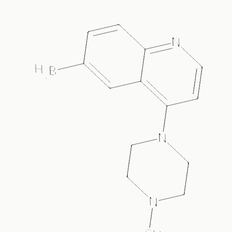 Bc1ccc2nccc(N3CCN(C)CC3)c2c1